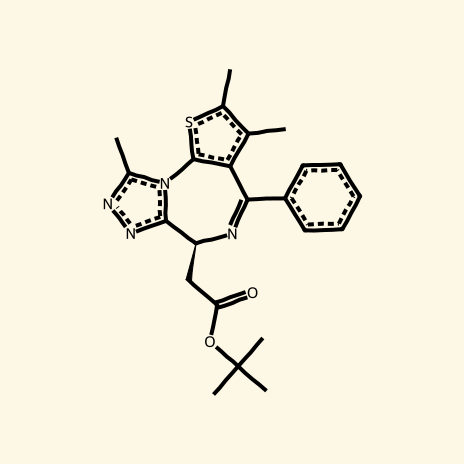 Cc1sc2c(c1C)C(c1ccccc1)=N[C@@H](CC(=O)OC(C)(C)C)c1nnc(C)n1-2